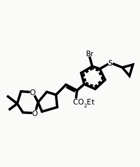 CCOC(=O)/C(=C\C1CCC2(C1)OCC(C)(C)CO2)c1ccc(SC2CC2)c(Br)c1